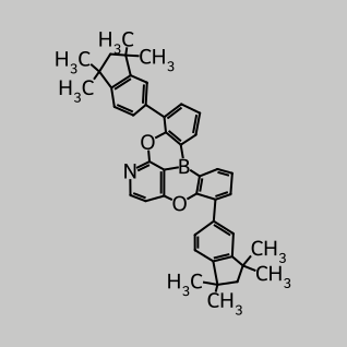 CC1(C)CC(C)(C)c2cc(-c3cccc4c3Oc3ccnc5c3B4c3cccc(-c4ccc6c(c4)C(C)(C)CC6(C)C)c3O5)ccc21